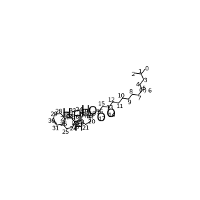 CC(C)CC[C@H](C)CCCCCCC(=O)CC(=O)O[C@H]1CC[C@H]2[C@H]3CCC4=C(CCC=C4)[C@H]3CC[C@@H]21